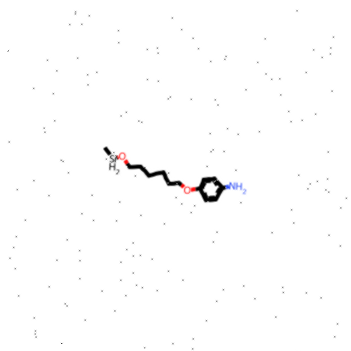 C[SiH2]OCCCCCCOc1ccc(N)cc1